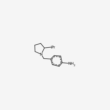 CC(C)C1CCCN1Cc1ccc(N)cc1